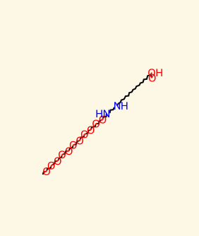 CCOCCOCCOCCOCCOCCOCCOCCOCCOCCOCCOCCNCCCCNCCCCCCCCCCCCCCCCCC(=O)O